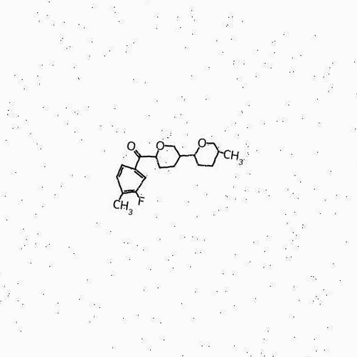 Cc1ccc(C(=O)C2CCC(C3CCC(C)CO3)CO2)cc1F